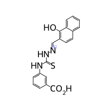 O=C(O)c1cccc(NC(=S)N/N=C/c2ccc3ccccc3c2O)c1